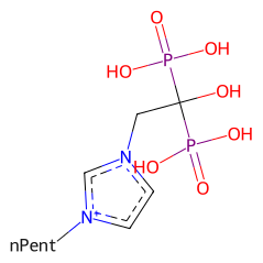 CCCCC[n+]1ccn(CC(O)(P(=O)(O)O)P(=O)(O)O)c1